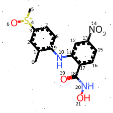 Cc1cc([S+](C)[O-])ccc1Nc1cc([N+](=O)[O-])ccc1C(=O)NO